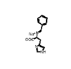 O=C([O-])C(Cc1c[nH]cn1)N=Cc1ccccc1.[Na+]